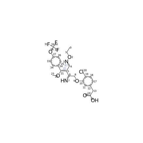 CCO/N=C/C(C(=N)COc1cc(CC(=O)O)ccc1Cl)=C(/OC)c1ccc(OC(F)(F)F)cc1